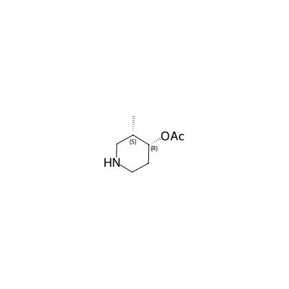 CC(=O)O[C@@H]1CCNC[C@@H]1C